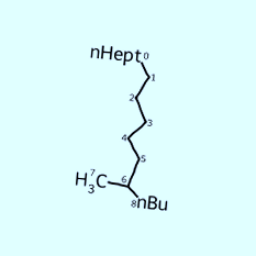 CCCCCCCCCCCCC(C)CCCC